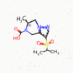 CC(C)S(=O)(=O)c1cnn2c1CN(C(=O)O)[C@@H](C)C2